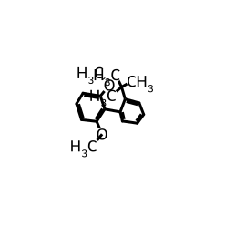 COc1cccc(OC)c1-c1ccccc1C(C)(C)C